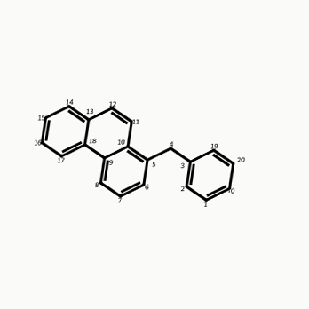 [c]1ccc(Cc2cccc3c2ccc2ccccc23)cc1